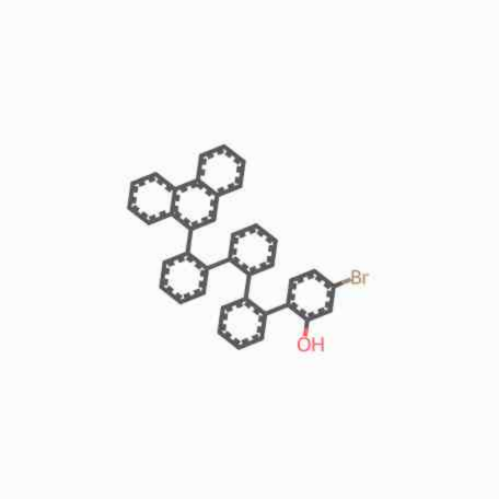 Oc1cc(Br)ccc1-c1ccccc1-c1ccccc1-c1ccccc1-c1cc2ccccc2c2ccccc12